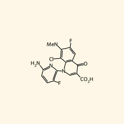 CNc1c(F)cc2c(=O)c(C(=O)O)cn(-c3nc(N)ccc3F)c2c1Cl